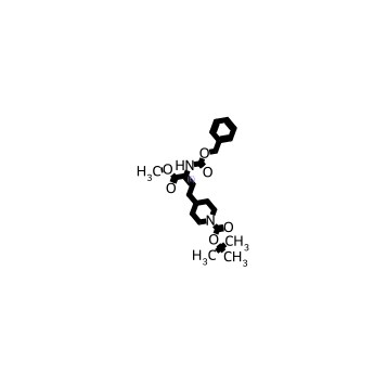 COC(=O)/C(=C\CC1CCN(C(=O)OC(C)(C)C)CC1)NC(=O)OCc1ccccc1